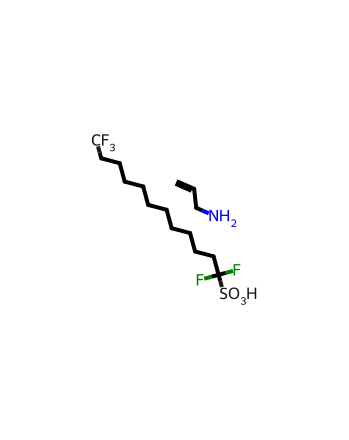 C=CCN.O=S(=O)(O)C(F)(F)CCCCCCCCCCC(F)(F)F